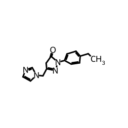 CCc1ccc(N2N=C(Cn3ccnc3)CC2=O)cc1